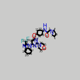 O=C(CN1CCCC1)N[C@H]1CC[C@H](Oc2cc(-n3c(C(F)F)nc4ccccc43)nc(N3CCOCC3)n2)CC1